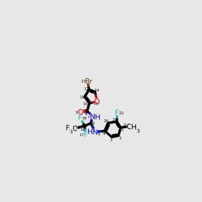 Cc1ccc(NC(NC(=O)c2cc(Br)co2)C(F)(F)C(F)(F)F)cc1F